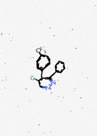 FC(F)(F)c1ccc(-c2c(Cl)cnnc2-c2ccccc2)cc1